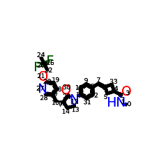 CNC(=O)C1CC(=Cc2ccc(N3CC[C@@H](Cc4ccc(OCC(C)(F)F)nc4)C3=O)cc2)C1